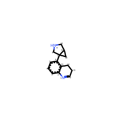 C1=Nc2cccc(C34CNCC3C4)c2CC1